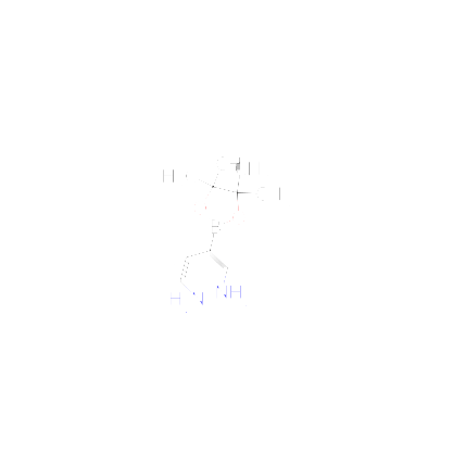 CC1(C)OB(C(/C=C\N)=C/N)OC1(C)C